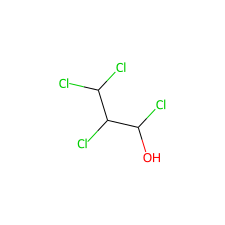 OC(Cl)C(Cl)C(Cl)Cl